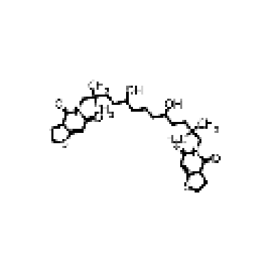 CC(C)(CCC(O)CCCC(O)CCC(C)(C)CN1C(=O)C=C2SCCC2C1=O)CN1C(=O)C=C2SCCC2C1=O